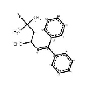 CC(C)(F)CC(C=O)N=C(c1ccccc1)c1ccccc1